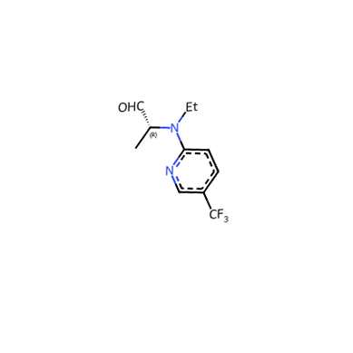 CCN(c1ccc(C(F)(F)F)cn1)[C@H](C)C=O